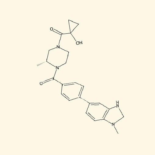 C[C@@H]1CN(C(=O)C2(O)CC2)CCN1C(=O)c1ccc(-c2ccc3c(c2)NCN3C)cc1